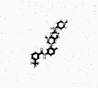 Cc1ccc(NC(=O)c2cccc(C(F)(F)F)c2)cc1N1Cc2cnc(NC3CCN(C)CC3)nc2N(C)C1